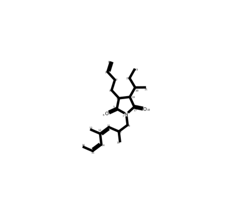 C=CCCC1C(=O)N(CC(C)/C=C(C)\C=C/C)C(=O)C1C(C)CC